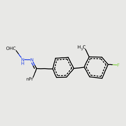 CCC/C(=N\NC=O)c1ccc(-c2ccc(F)cc2C)cc1